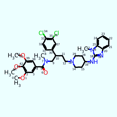 COc1cc(C(=O)N(C)CC(CCN2CCC(Nc3nc4ccccc4n3C)CC2)c2ccc(Cl)c(Cl)c2)cc(OC)c1OC